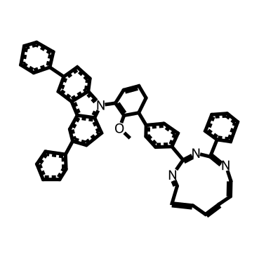 COC1=C(n2c3ccc(-c4ccccc4)cc3c3cc(-c4ccccc4)ccc32)C=CCC1c1ccc(C2=N/C(c3ccccc3)=N\C=C/C=C\C=C\C=N\2)cc1